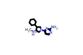 CN[C@H]1CN(c2ccnc(N)n2)CC1C1CCCCC1